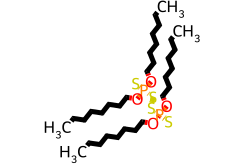 CCCCCCCCOP(=S)(OCCCCCCCC)SSP(=S)(OCCCCCCCC)OCCCCCCCC